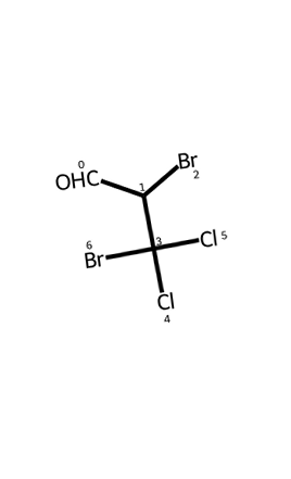 O=CC(Br)C(Cl)(Cl)Br